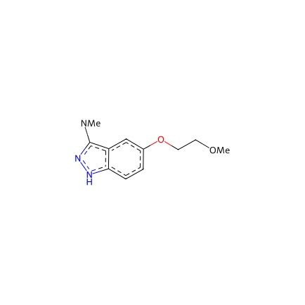 CNc1n[nH]c2ccc(OCCOC)cc12